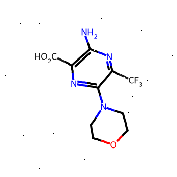 Nc1nc(C(F)(F)F)c(N2CCOCC2)nc1C(=O)O